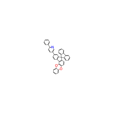 c1ccc(-c2ccc(-c3ccc4c(c3)C3(c5ccccc5-c5ccccc53)c3ccc5c(c3-4)Oc3ccccc3O5)cn2)cc1